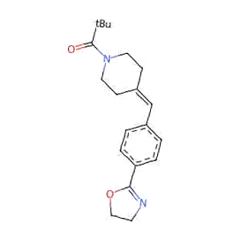 CC(C)(C)C(=O)N1CCC(=Cc2ccc(C3=NCCO3)cc2)CC1